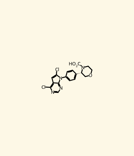 O=C(O)N1CCOC[C@@H]1c1ccc(-n2c(Cl)cc3c(Cl)ncnc32)cc1